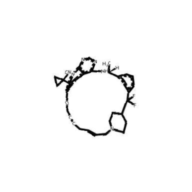 C[C@H]1Nc2ncnc3nc(c(C4(C#N)CC4)cc23)OCCCC/C=C/CN2CCC(CC2)C(F)(F)c2cccc1c2